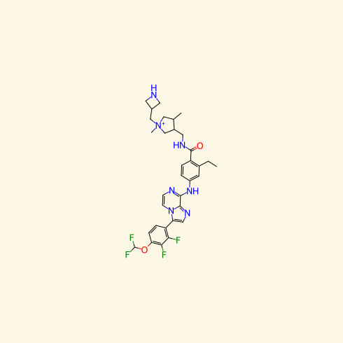 CCc1cc(Nc2nccn3c(-c4ccc(OC(F)F)c(F)c4F)cnc23)ccc1C(=O)NCC1C[N+](C)(CC2CNC2)CC1C